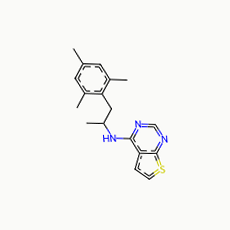 Cc1cc(C)c(CC(C)Nc2ncnc3sccc23)c(C)c1